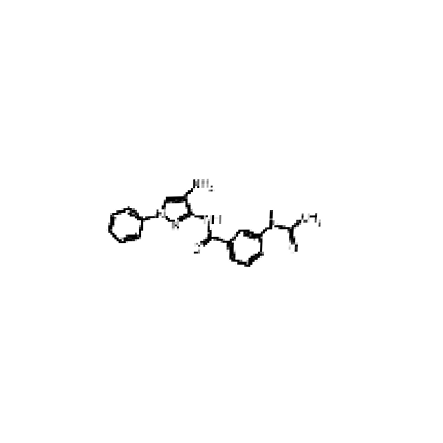 CC(=O)Nc1cccc(C(=O)Nc2nn(-c3ccccc3)cc2N)c1